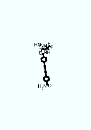 CC(C)(C(F)F)[C@H](NC(=O)c1ccc(C#CC#Cc2ccc(C(N)=O)cc2)cc1)C(=O)NO